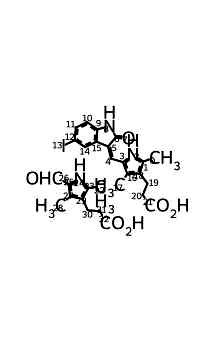 Cc1[nH]c(/C=C2\C(=O)Nc3ccc(I)cc32)c(C)c1CCC(=O)O.Cc1[nH]c(C=O)c(C)c1CCC(=O)O